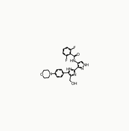 O=C(Nc1c[nH]nc1-c1nc(CO)c(-c2ccc(N3CCOCC3)cc2)[nH]1)c1c(F)cccc1F